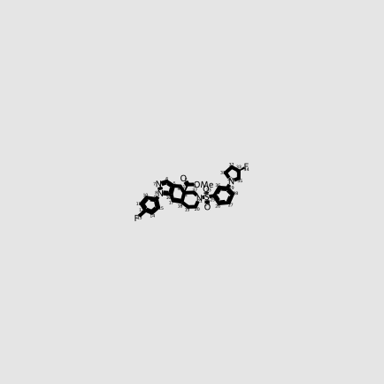 COC(=O)[C@]12Cc3cnn(-c4ccc(F)cc4)c3C=C1CCN(S(=O)(=O)c1cccc(N3CC[C@@H](F)C3)c1)C2